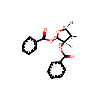 CC[C@H]1O[C@H](OC(=O)c2ccccc2)[C@](C)(OC(=O)c2ccccc2)[C@@H]1C